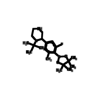 Cc1cc(C2CNCCN2C(C)(C)C)cc(F)c1B1OC(C)(C)C(C)(C)O1